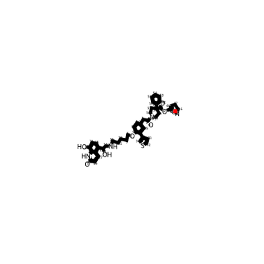 O=C(Cc1ccc(OCCCCCNCC(O)c2ccc(O)c3[nH]c(=O)ccc23)c(-c2ccsc2)c1)N1CCC(C(=O)OC2CN3CCC2CC3)(c2ccccc2)CC1